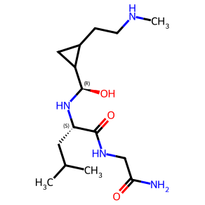 CNCCC1CC1[C@@H](O)N[C@@H](CC(C)C)C(=O)NCC(N)=O